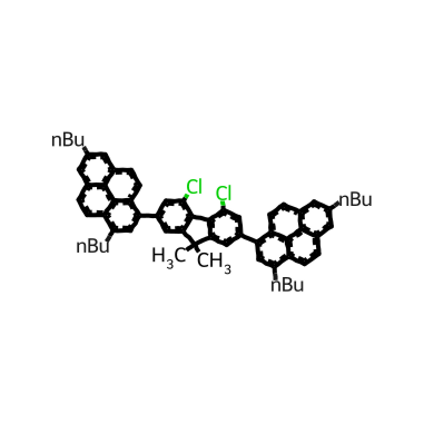 CCCCc1cc2ccc3c(CCCC)cc(-c4cc(Cl)c5c(c4)C(C)(C)c4cc(-c6cc(CCCC)c7ccc8cc(CCCC)cc9ccc6c7c89)cc(Cl)c4-5)c4ccc(c1)c2c34